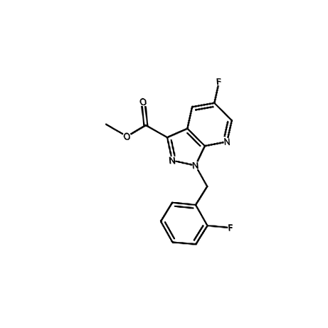 COC(=O)c1nn(Cc2ccccc2F)c2ncc(F)cc12